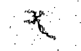 CCCCOCOC(OC)=C(CCC)OC